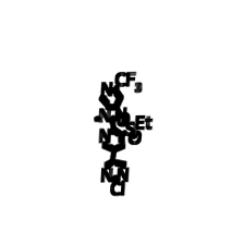 CCS(=O)(=O)c1cc(-c2cnc(Cl)nc2)cnc1-c1nc2cc(C(F)(F)F)ncc2n1C